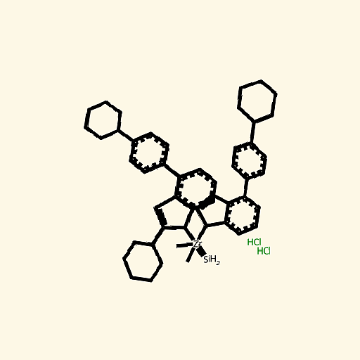 CC1=Cc2c(-c3ccc(C4CCCCC4)cc3)cccc2[CH]1[Zr]([CH3])([CH3])(=[SiH2])[CH]1C(C2CCCCC2)=Cc2c(-c3ccc(C4CCCCC4)cc3)cccc21.Cl.Cl